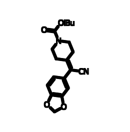 CC(C)COC(=O)N1CCC(=C(C#N)c2ccc3c(c2)OCO3)CC1